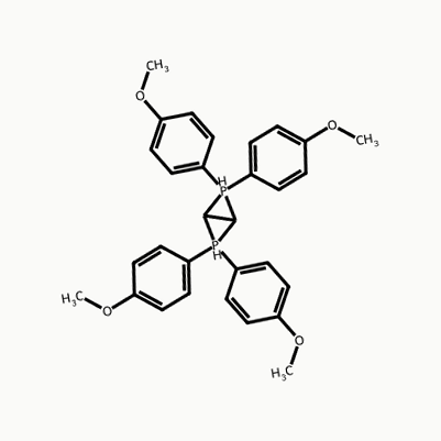 COc1ccc([PH]2(c3ccc(OC)cc3)C3C2[PH]3(c2ccc(OC)cc2)c2ccc(OC)cc2)cc1